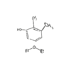 CCOCC.Cc1cccc(O)c1C